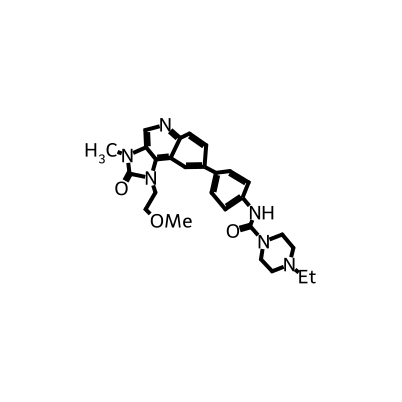 CCN1CCN(C(=O)Nc2ccc(-c3ccc4ncc5c(c4c3)n(CCOC)c(=O)n5C)cc2)CC1